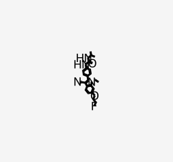 CCn1c(-c2ccc(NC(=O)NC(C)C)cc2)c(C#N)c2ccc(OCCF)cc21